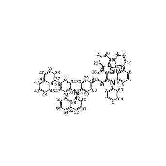 c1ccc(N2c3ccccc3[Si](c3ccccc3)(c3ccccc3)c3ccc(-c4ccc(N(c5ccc(-c6cccc7ccccc67)cc5)c5cccc6ccccc56)cc4)cc32)cc1